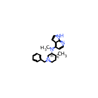 C[C@@H]1CCN(Cc2ccccc2)C[C@@H]1N(C)c1ccnc2[nH]ccc12